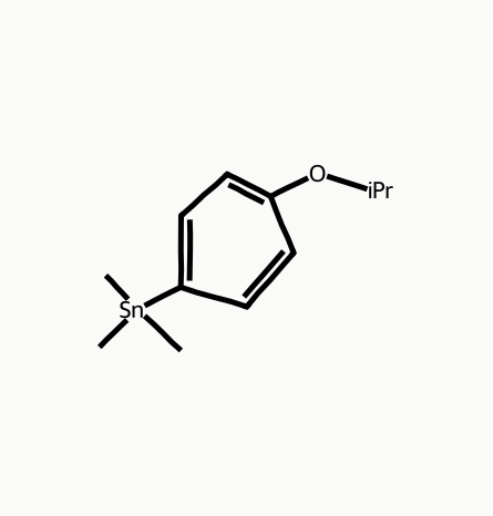 CC(C)Oc1cc[c]([Sn]([CH3])([CH3])[CH3])cc1